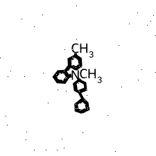 Cc1ccc2c(c1)c1ccccc1n2C1(C)C=CC(c2ccccc2)=CC1